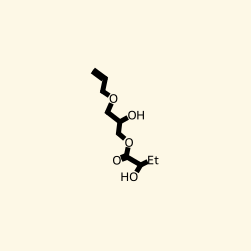 C=CCOCC(O)COC(=O)C(O)CC